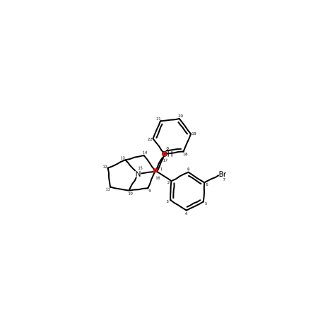 OC1(c2cccc(Br)c2)CC2CCC(C1)N2Cc1ccccc1